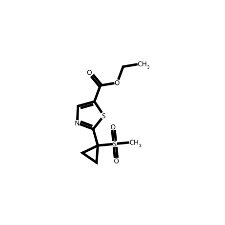 CCOC(=O)c1cnc(C2(S(C)(=O)=O)CC2)s1